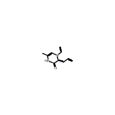 C=C/C=C1/C(=O)NC(C)=CN1C=C